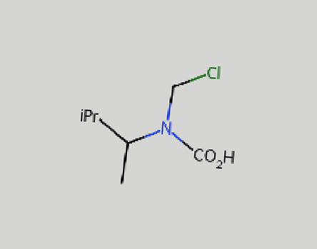 CC(C)C(C)N(CCl)C(=O)O